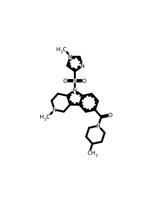 CC1CCN(C(=O)c2ccc3c(c2)c2c(n3S(=O)(=O)c3cn(C)cn3)CCN(C)C2)CC1